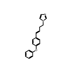 C(=Cc1ccc(Oc2ccccc2)cc1)CCn1ccnc1